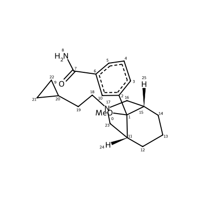 COC1(c2cccc(C(N)=O)c2)[C@@H]2CCC[C@H]1CN(CCC1CC1)C2